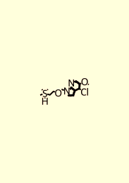 COc1cnc2c(ccn2COCC[SH](C)(C)(C)C)c1Cl